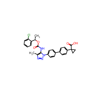 Cc1nnn(-c2ccc(-c3ccc(C4(C(=O)O)CC4)cc3)cc2)c1NC(=O)O[C@H](C)c1ccccc1Cl